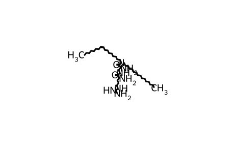 CCCCCCCC/C=C\CCCCCCCCN(CCCCCCCCCCCCCCCC)C(=O)[C@H](N)CNC(=O)C(N)CCCNC(=N)N